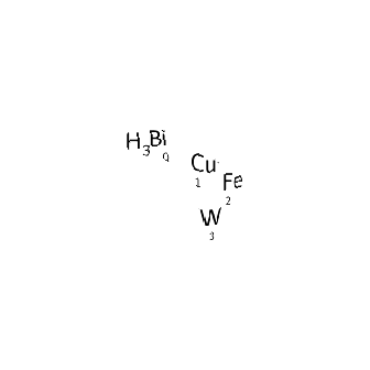 [BiH3].[Cu].[Fe].[W]